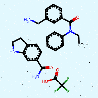 NC(=O)c1ccc2c(c1)NCC2.NCc1cccc(C(=O)N(CC(=O)O)c2ccccc2)c1.O=C(O)C(F)(F)F